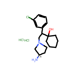 Cl.Cl.N[C@@H]1CCN(CC(c2cccc(Cl)c2)C2(O)CCCCC2)C1